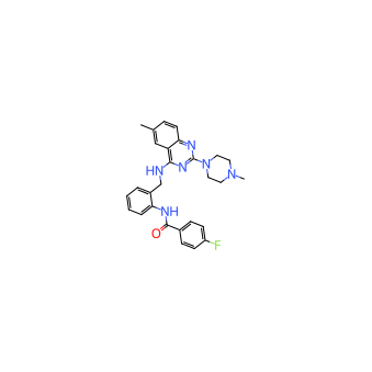 Cc1ccc2nc(N3CCN(C)CC3)nc(NCc3ccccc3NC(=O)c3ccc(F)cc3)c2c1